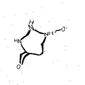 O=C1[CH][NH+]([O-])NN1